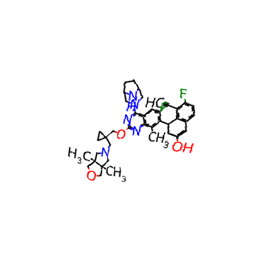 C#Cc1c(F)ccc2c1C(c1c(F)cc3c(N4CC5CCC(C4)N5)nc(OCC4(CN5C[C@]6(C)COC[C@]6(C)C5)CC4)nc3c1C)CC(O)=C2